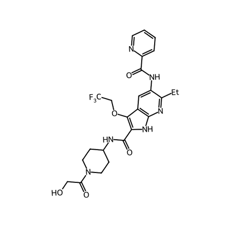 CCc1nc2[nH]c(C(=O)NC3CCN(C(=O)CO)CC3)c(OCC(F)(F)F)c2cc1NC(=O)c1ccccn1